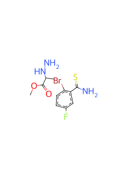 COC(=O)C(C)NN.NC(=S)c1cc(F)ccc1Br